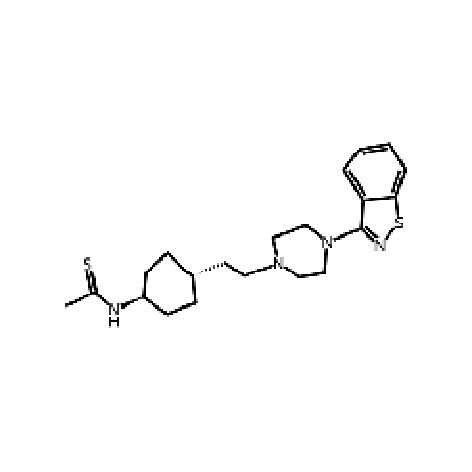 CC(=S)N[C@H]1CC[C@H](CCN2CCN(c3nsc4ccccc34)CC2)CC1